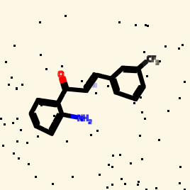 Nc1ccccc1C(=O)/C=C/c1cccc(C(F)(F)F)c1